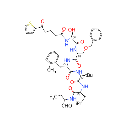 Cc1ccccc1C[C@H](NC(=O)[C@@H](COCc1ccccc1)NC(=O)[C@H](CO)NC(=O)CCCC(=O)c1cccs1)C(=O)N[C@H](C(=O)N[C@@H](CC(C)C)C(=O)NC(C=O)CC(F)(F)F)C(C)(C)C